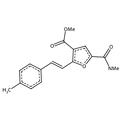 CNC(=O)c1cc(C(=O)OC)c(C=Cc2ccc(C)cc2)o1